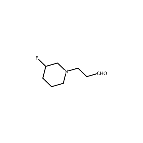 O=CCCN1CCCC(F)C1